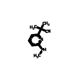 CPc1cccc(C(C)(C)C#N)n1